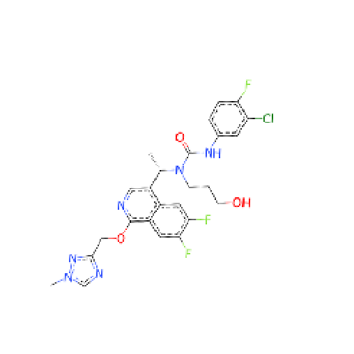 C[C@@H](c1cnc(OCc2ncn(C)n2)c2cc(F)c(F)cc12)N(CCCO)C(=O)Nc1ccc(F)c(Cl)c1